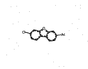 CC(=O)c1ccc2c(c1)oc1cc(Cl)ccc12